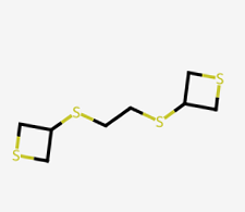 C(CSC1CSC1)SC1CSC1